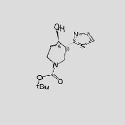 CC(C)(C)OC(=O)N1CC[C@@H](O)[C@H](c2nccs2)C1